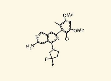 COc1cc(OC)c(Cl)c(-c2cc3cnc(N)cc3c(N3CCC(F)(F)C3)n2)c1C